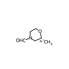 C[C@@H]1CN(C=O)CCO1